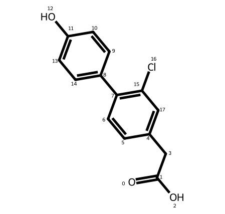 O=C(O)Cc1ccc(-c2ccc(O)cc2)c(Cl)c1